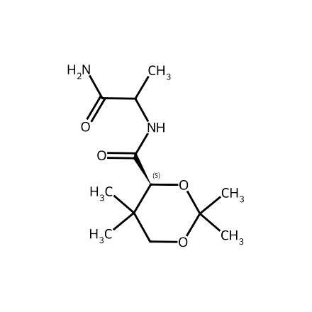 CC(NC(=O)[C@H]1OC(C)(C)OCC1(C)C)C(N)=O